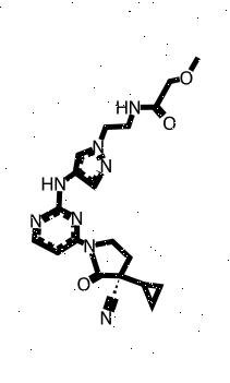 COCC(=O)NCCn1cc(Nc2nccc(N3CC[C@@](C#N)(C4CC4)C3=O)n2)cn1